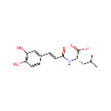 CC(C)C[C@H](NC(=O)/C=C/c1ccc(O)c(O)c1)C(=O)O